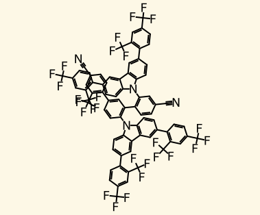 N#Cc1ccc(-c2cc(-c3ccc(C#N)cc3C(F)(F)F)ccc2-n2c3ccc(-c4ccc(C(F)(F)F)cc4C(F)(F)F)cc3c3cc(-c4ccc(C(F)(F)F)cc4C(F)(F)F)ccc32)c(-n2c3ccc(-c4ccc(C(F)(F)F)cc4C(F)(F)F)cc3c3cc(-c4ccc(C(F)(F)F)cc4C(F)(F)F)ccc32)c1